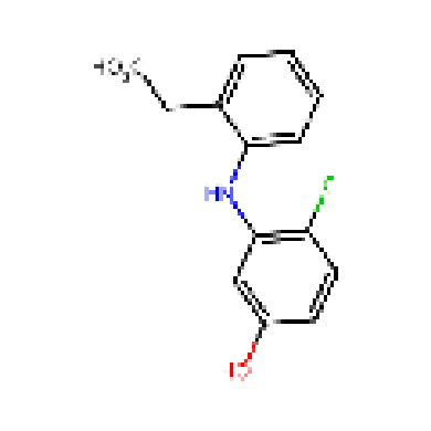 O=C(O)Cc1ccccc1Nc1cc(O)ccc1Cl